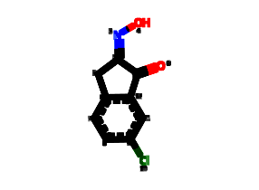 O=C1/C(=N\O)Cc2ccc(Cl)cc21